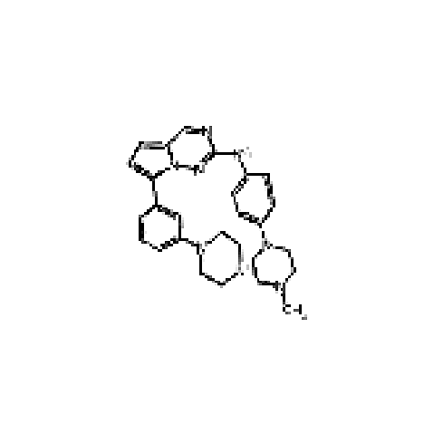 CN1CCN(c2ccc(Nc3ncc4ccc(-c5cccc(N6CCNCC6)c5)n4n3)cc2)CC1